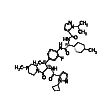 CC(C)n1nccc1C(=O)N[C@H](C(=O)Nc1ccc([C@H](C)[C@@H](NC(=O)c2ccnn2C2CCC2)C(=O)N2CCN(C)CC2)cc1F)[C@H]1CC[C@H](C)CC1